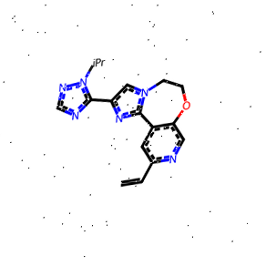 C=Cc1cc2c(cn1)OCCn1cc(-c3ncnn3C(C)C)nc1-2